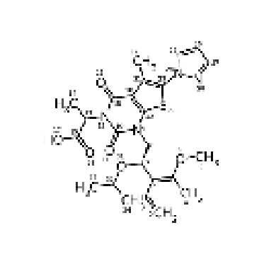 C=C/C(=C(\C)OC)[C@H](Cn1c(=O)n(C(C)C(=O)O)c(=O)c2c(C)c(-n3cccn3)sc21)OC(C)C